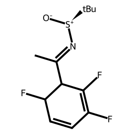 C/C(=N\[S@@+]([O-])C(C)(C)C)C1C(F)=C(F)C=CC1F